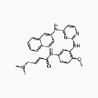 COc1ccc(NC(=O)/C=C/CN(C)C)cc1Nc1nccc(Nc2ccc3ccccc3c2)n1